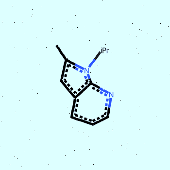 Cc1cc2cccnc2n1C(C)C